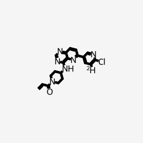 [2H]c1cc(-c2ccc3ncnc(NC4CCN(C(=O)C=C)CC4)c3n2)cnc1Cl